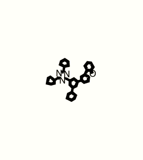 c1ccc(-c2cc(-c3ccc4oc5ccccc5c4c3)cc(-c3nc(-c4ccccc4)nc(-c4ccccc4)n3)c2)cc1